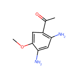 COc1cc(C(C)=O)c(N)cc1N